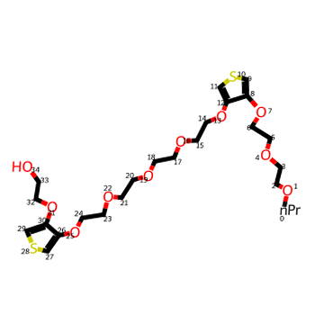 CCCOCCOCCOc1cscc1OCCOCCOCCOCCOc1cscc1OCCO